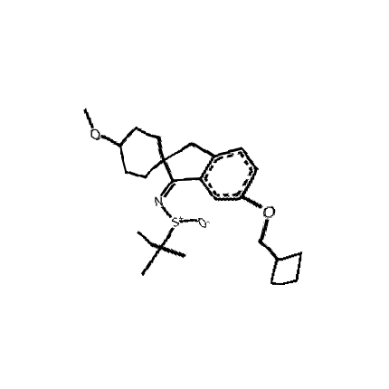 COC1CCC2(CC1)Cc1ccc(OCC3CCC3)cc1/C2=N\[S+]([O-])C(C)(C)C